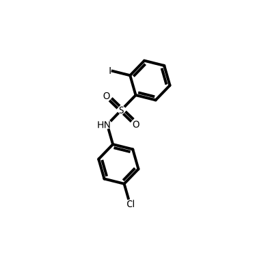 O=S(=O)(Nc1ccc(Cl)cc1)c1ccccc1I